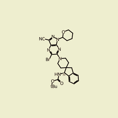 CC(C)(C)OC(=O)N[C@@H]1c2ccccc2CC12CCN(c1nc3c(nc1Br)c(C#N)nn3C1CCCCO1)CC2